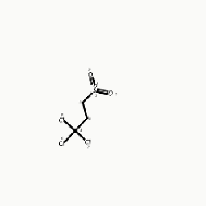 O=[SH](=O)CCC(Cl)(Cl)Cl